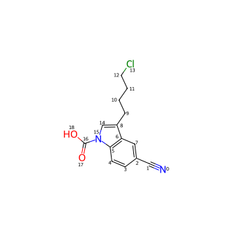 N#Cc1ccc2c(c1)c(CCCCCl)cn2C(=O)O